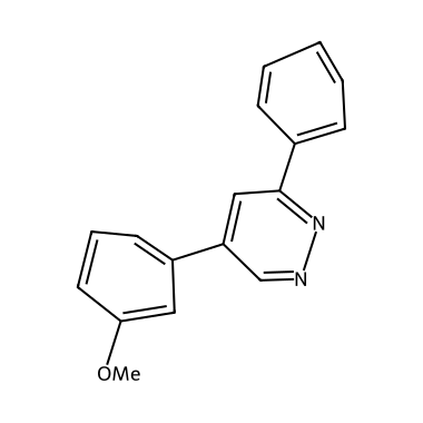 COc1cccc(-c2cnnc(-c3ccccc3)c2)c1